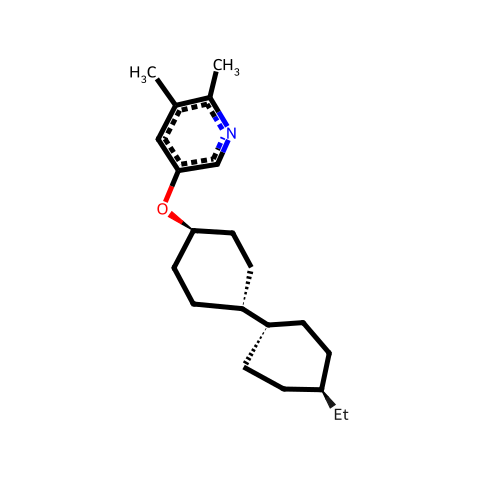 CC[C@H]1CC[C@H]([C@H]2CC[C@H](Oc3cnc(C)c(C)c3)CC2)CC1